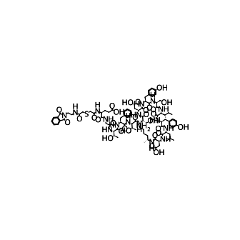 CC[C@H](C)[C@H](NC(=O)[C@H](CO)NC(=O)[C@H](Cc1ccc(O)cc1)NC(=O)[C@H](CC(=O)O)NC(=O)[C@H](CO)NC(=O)[C@@H](NC(=O)[C@H](Cc1ccccc1)NC(=O)[C@@H](NC(=O)CNC(=O)[C@H](CCC(=O)O)NC(=O)CSCC(=O)NCCN1C(=O)c2ccccc2C1=O)[C@@H](C)O)[C@@H](C)O)C(=O)N[C@@H](Cc1ccc(O)cc1)C(=O)N[C@@H](CC(C)C)C(=O)N[C@@H](CC(=O)O)C(=O)N[C@H](C)CCCCN